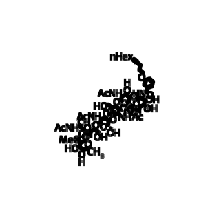 CCCCCCC#CCCCOc1cccc(C(=O)N[C@@H]2C(O[C@H]3C(O)C(NC(C)=O)[C@H](OC4C(CO)O[C@@H](O[C@H]5C(O)C(NC(C)=O)C(OC(CO)C(CO[C@@H]6OC(C)C(O)[C@H](O)[C@H]6OC)OC(O)[C@H](C)NC(C)=O)O[C@H]5CO)[C@@H](NC(C)=O)[C@H]4O)O[C@H]3CO)OC(CO)[C@@H](O)[C@@H]2O)c1